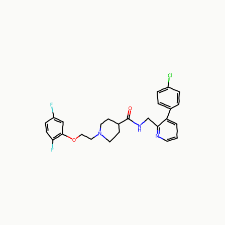 O=C(NCc1ncccc1-c1ccc(Cl)cc1)C1CCN(CCOc2cc(F)ccc2F)CC1